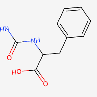 [NH]C(=O)NC(Cc1ccccc1)C(=O)O